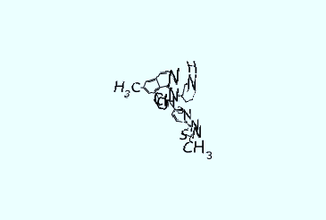 Cc1cc(C)c2c(N(C(=O)c3ccc(-c4nnc(C)s4)nc3)[C@@H]3CCCNC3)nccc2c1